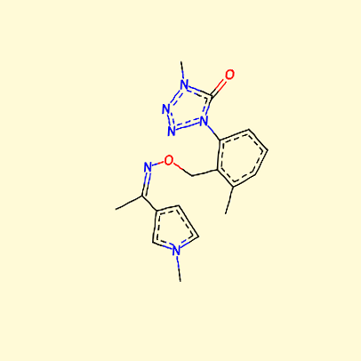 C/C(=N/OCc1c(C)cccc1-n1nnn(C)c1=O)c1ccn(C)c1